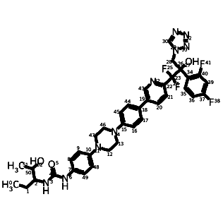 CCC(NC(=O)Nc1ccc(N2CCN(c3ccc(-c4ccc(C(F)(F)C(O)(Cn5cnnn5)c5ccc(F)cc5F)nc4)cc3)CC2)cc1)C(C)O